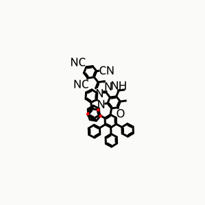 CC(=N)c1c(-c2ncc(-c3c(C#N)cc(C#N)cc3C#N)cn2)c(-n2c3ccccc3c3ccccc32)c2c(oc3c(-c4ccccc4)c(-c4ccccc4)c(-c4ccccc4)c(-c4ccccc4)c32)c1C